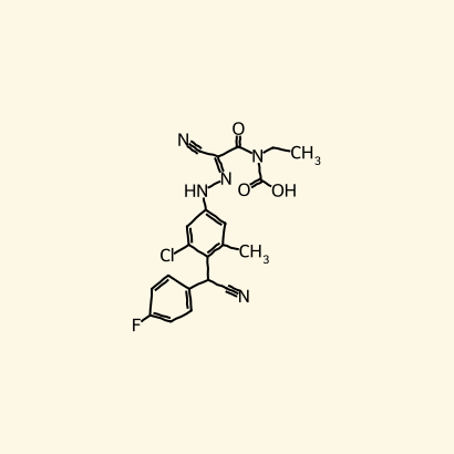 CCN(C(=O)O)C(=O)/C(C#N)=N/Nc1cc(C)c(C(C#N)c2ccc(F)cc2)c(Cl)c1